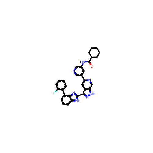 O=C(Nc1cncc(-c2cc3c(-c4nc5c(-c6ccccc6F)cccc5[nH]4)n[nH]c3cn2)c1)C1CCCCC1